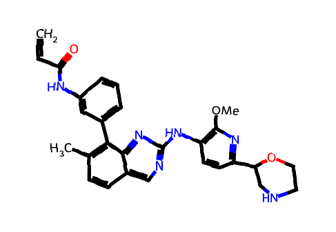 C=CC(=O)Nc1cccc(-c2c(C)ccc3cnc(Nc4ccc(C5CNCCO5)nc4OC)nc23)c1